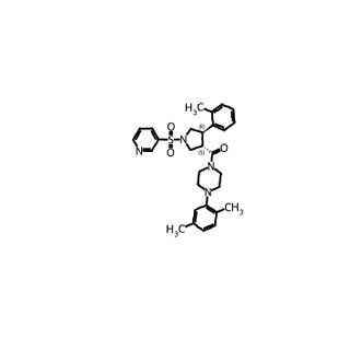 Cc1ccc(C)c(N2CCN(C(=O)[C@@H]3CN(S(=O)(=O)c4cccnc4)C[C@H]3c3ccccc3C)CC2)c1